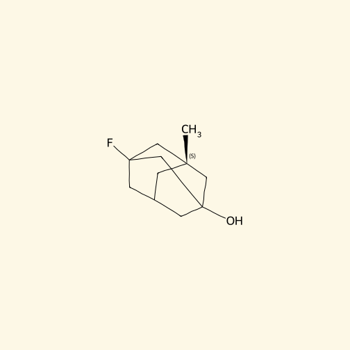 C[C@@]12CC3CC(O)(CC(F)(C3)C1)C2